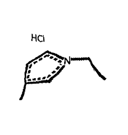 CCn1ccc(C)c1.Cl